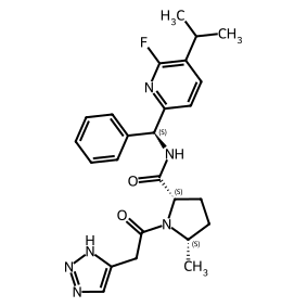 CC(C)c1ccc([C@@H](NC(=O)[C@@H]2CC[C@H](C)N2C(=O)Cc2cnn[nH]2)c2ccccc2)nc1F